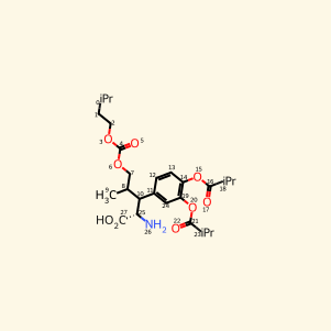 CC(C)CCOC(=O)OCC(C)C(c1ccc(OC(=O)C(C)C)c(OC(=O)C(C)C)c1)[C@H](N)C(=O)O